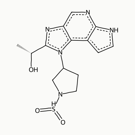 C[C@@H](O)c1nc2cnc3[nH]ccc3c2n1C1CCN([SH](=O)=O)C1